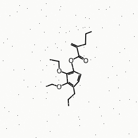 C=C(CCC)C(=O)Oc1ccc(CCC)c(OCC)c1OCC